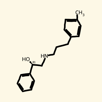 Cc1ccc(CCCNC[C@H](O)c2ccccc2)cc1